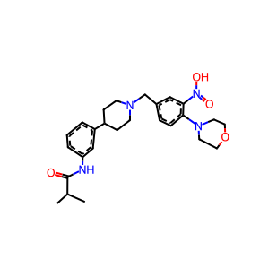 CC(C)C(=O)Nc1cccc(C2CCN(Cc3ccc(N4CCOCC4)c([N+](=O)O)c3)CC2)c1